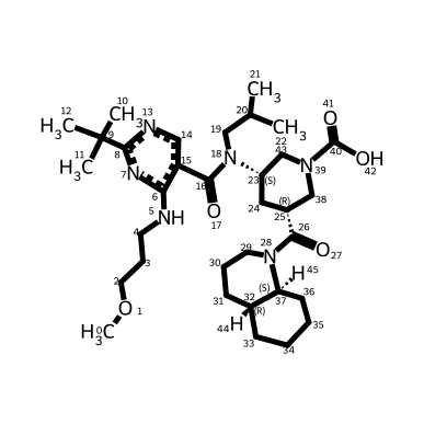 COCCCNc1nc(C(C)(C)C)ncc1C(=O)N(CC(C)C)[C@H]1C[C@@H](C(=O)N2CCC[C@H]3CCCC[C@@H]32)CN(C(=O)O)C1